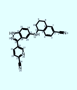 N#Cc1ccc2c(c1)CCCC2Nc1ccc2[nH]nc(-c3ccc(C#N)nc3)c2c1